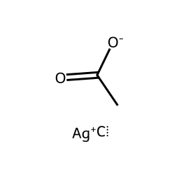 CC(=O)[O-].[Ag+].[C]